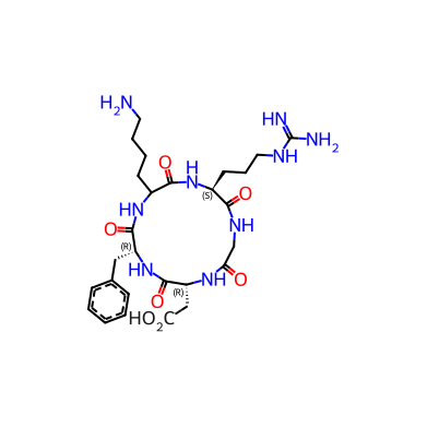 N=C(N)NCCC[C@@H]1NC(=O)C(CCCCN)NC(=O)[C@@H](Cc2ccccc2)NC(=O)[C@@H](CC(=O)O)NC(=O)CNC1=O